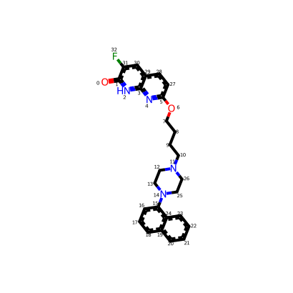 O=c1[nH]c2nc(OCCCCN3CCN(c4cccc5ccccc45)CC3)ccc2cc1F